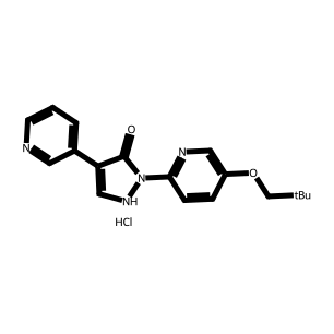 CC(C)(C)COc1ccc(-n2[nH]cc(-c3cccnc3)c2=O)nc1.Cl